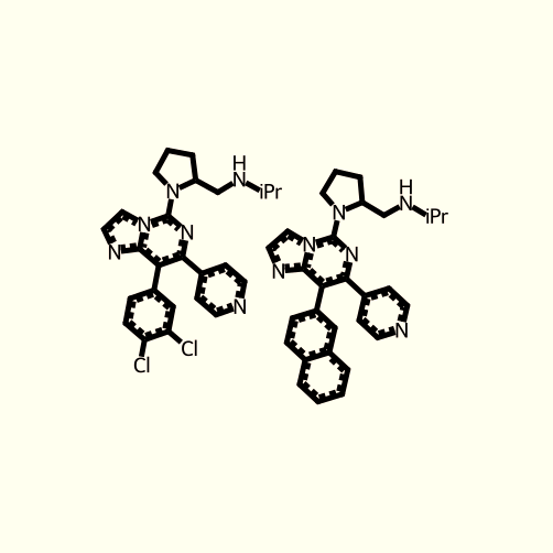 CC(C)NCC1CCCN1c1nc(-c2ccncc2)c(-c2ccc(Cl)c(Cl)c2)c2nccn12.CC(C)NCC1CCCN1c1nc(-c2ccncc2)c(-c2ccc3ccccc3c2)c2nccn12